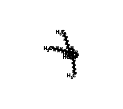 CCCCCCCCCc1ccccc1P(O)(O)(O)c1cccc(CCCCCCCCC)c1CCCCCCCCC